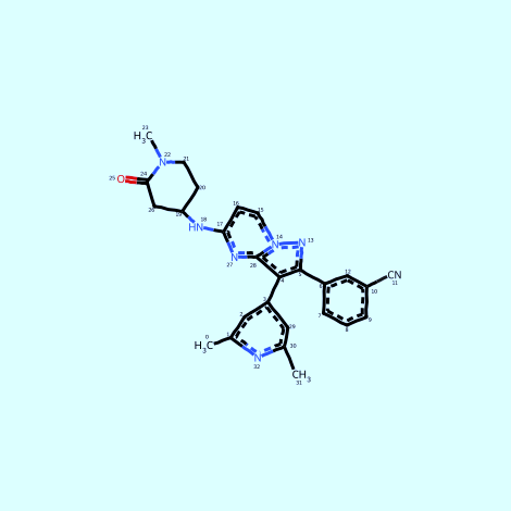 Cc1cc(-c2c(-c3cccc(C#N)c3)nn3ccc(NC4CCN(C)C(=O)C4)nc23)cc(C)n1